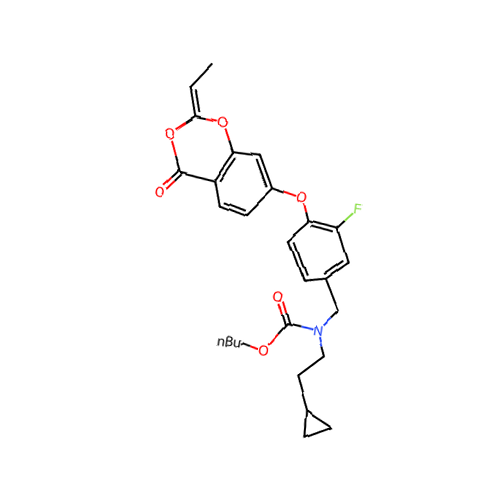 C/C=C1/OC(=O)c2ccc(Oc3ccc(CN(CCC4CC4)C(=O)OCCCC)cc3F)cc2O1